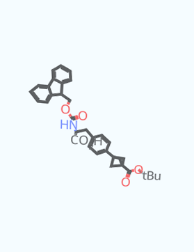 CC(C)(C)OC(=O)C12CC(c3ccc(CC(NC(=O)OCC4c5ccccc5-c5ccccc54)C(=O)O)cc3)(C1)C2